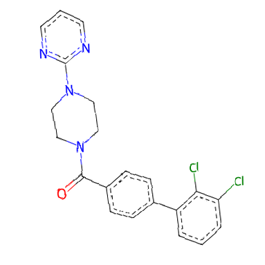 O=C(c1ccc(-c2cccc(Cl)c2Cl)cc1)N1CCN(c2ncccn2)CC1